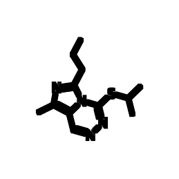 CCCc1nc(C)c2cnnc(SC(C)C)n12